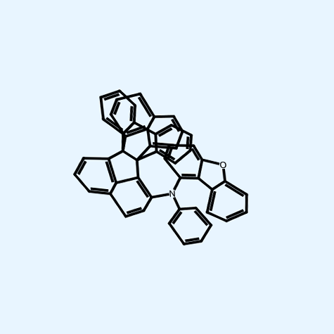 c1ccc(N(c2ccc3cccc4c3c2C23c5ccccc5-c5ccccc5C42c2cccc4cccc3c24)c2cccc3oc4ccccc4c23)cc1